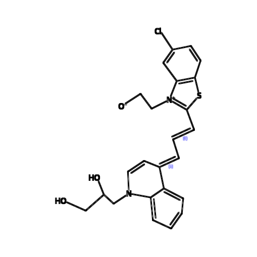 [O-]CC[n+]1c(/C=C/C=C2\C=CN(CC(O)CO)c3ccccc32)sc2ccc(Cl)cc21